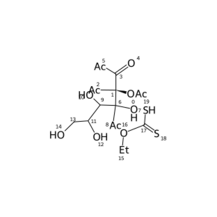 CC(=O)O[C@@](C(C)=O)(C(=O)C(C)=O)C(O)(C(C)=O)C(O)C(O)CO.CCOC(=S)S